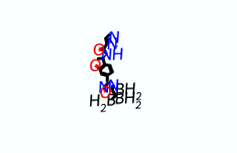 BC(B)(B)c1nc(-c2ccc3c(c2)OC[C@H]3NC(=O)c2ccnn2C)no1